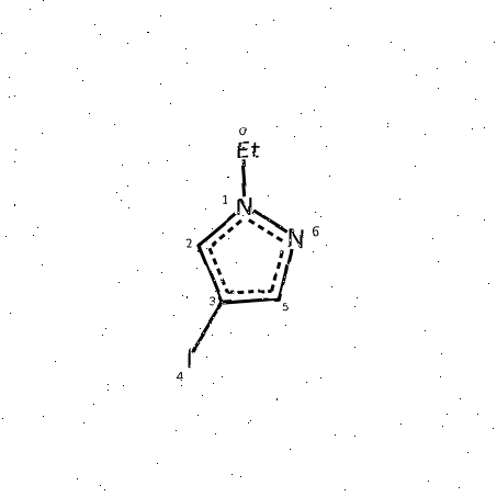 CCn1[c]c(I)cn1